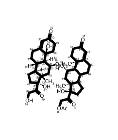 CC(=O)OCC(=O)[C@@]1(O)CCC2C3CCC4=CC(=O)CC[C@]4(C)C3[C@@H](O)C[C@@]21C.C[C@]12CCC(=O)C=C1CC[C@@H]1[C@@H]2[C@@H](O)C[C@@]2(C)[C@H]1CC[C@]2(O)C(=O)CO